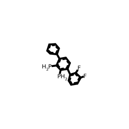 Fc1cccc(-c2ccc(-c3ccccc3)c(P)c2P)c1F